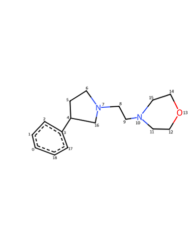 c1ccc(C2CCN(CCN3CCOCC3)C2)cc1